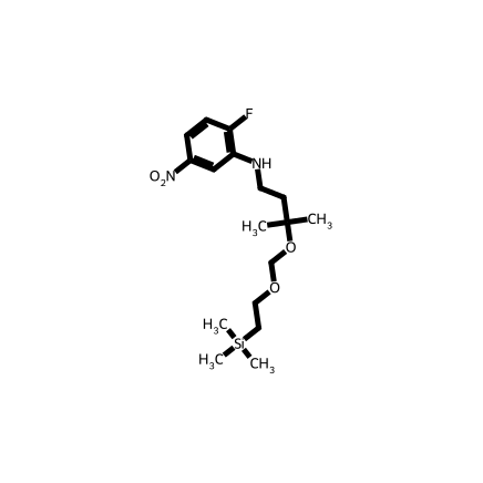 CC(C)(CCNc1cc([N+](=O)[O-])ccc1F)OCOCC[Si](C)(C)C